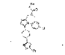 CC(C)c1nc(C2CCC(c3nnc4n3-c3ccc(Cl)cc3CN(C(=O)OC(C)(C)C)C4)CC2)no1